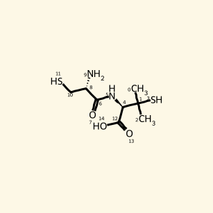 CC(C)(S)[C@H](NC(=O)[C@@H](N)CS)C(=O)O